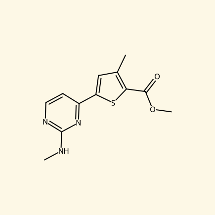 CNc1nccc(-c2cc(C)c(C(=O)OC)s2)n1